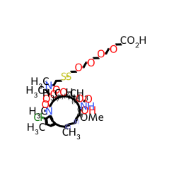 CO[C@@H]1/C=C/C=C(\C)Cc2cc(C)c(Cl)c(c2)N(C)C(=O)C[C@H](OC(=O)[C@H](C)N(C)C(=O)CCSSCCOCCOCCOCCOCCC(=O)O)[C@]2(C)O[C@H]2[C@H](C)[C@@H]2C[C@@]1(O)NC(=O)O2